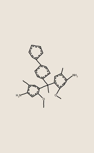 COc1cc(N)c(C)cc1C(C)(c1ccc(-c2ccccc2)cc1)c1cc(C)c(N)cc1OC